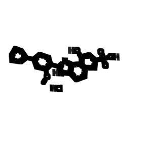 COc1cc(-c2ccccc2)ccc1-c1nc2c(ccc3cc(S(=O)(=O)O)cc(O)c32)[nH]1.Cl